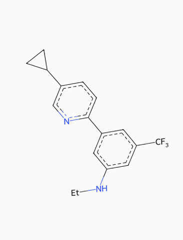 CCNc1cc(-c2ccc(C3CC3)cn2)cc(C(F)(F)F)c1